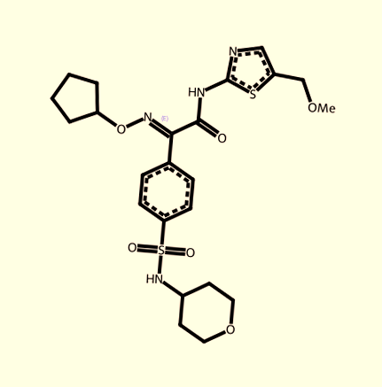 COCc1cnc(NC(=O)/C(=N/OC2CCCC2)c2ccc(S(=O)(=O)NC3CCOCC3)cc2)s1